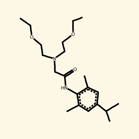 CCOCCN(CCOCC)CC(=O)Nc1c(C)cc(C(C)C)cc1C